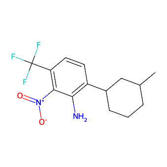 CC1CCCC(c2ccc(C(F)(F)F)c([N+](=O)[O-])c2N)C1